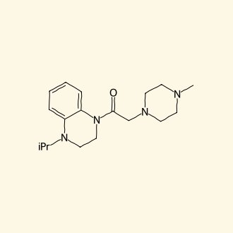 CC(C)N1CCN(C(=O)CN2CCN(C)CC2)c2ccccc21